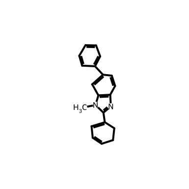 Cn1c(C2=CC=CCC2)nc2ccc(-c3ccccc3)cc21